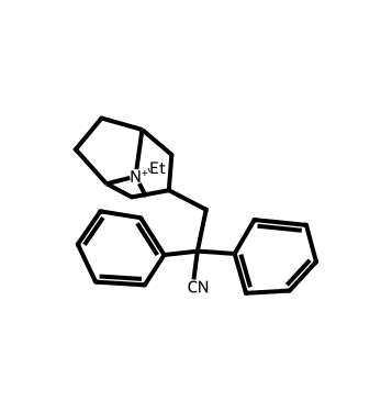 CC[N+]1(C)C2CCC1CC(CC(C#N)(c1ccccc1)c1ccccc1)C2